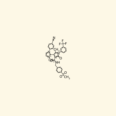 Cc1c(-c2n(-c3ccc(C#N)cc3)cc[n+]2C)n(C(=O)NCc2ccc(S(C)(=O)=O)cc2)c(=O)n1-c1cccc(C(F)(F)F)c1